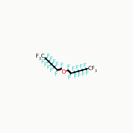 F/C(O/C(F)=C(\F)C(F)(F)C(F)(F)C(F)(F)C(F)(F)C(F)(F)F)=C(/F)C(F)(F)C(F)(F)C(F)(F)C(F)(F)C(F)(F)F